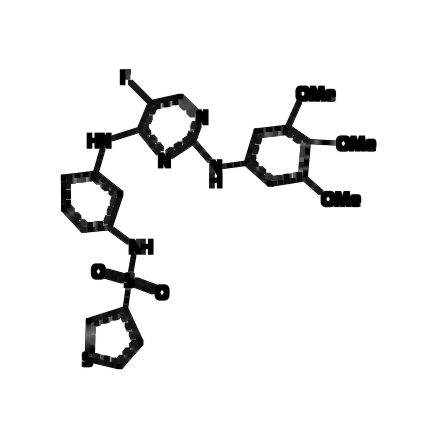 COc1cc(Nc2ncc(F)c(Nc3cccc(NS(=O)(=O)c4ccsc4)c3)n2)cc(OC)c1OC